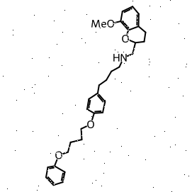 COc1cccc2c1OC(CNCCCCc1ccc(OCCCCOc3ccccc3)cc1)CC2